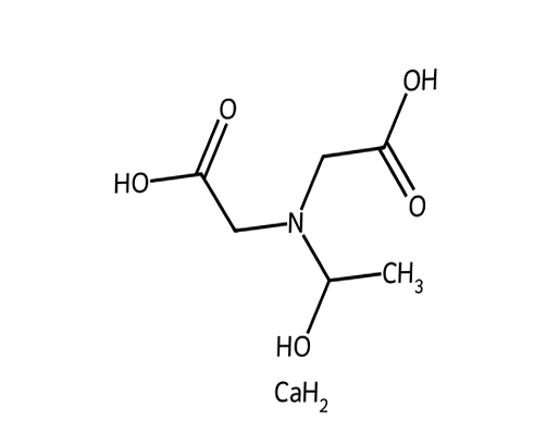 CC(O)N(CC(=O)O)CC(=O)O.[CaH2]